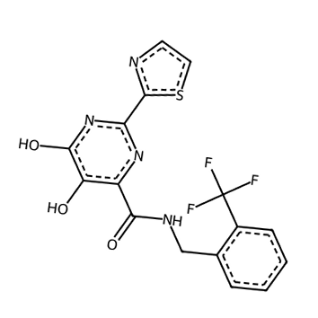 O=C(NCc1ccccc1C(F)(F)F)c1nc(-c2nccs2)nc(O)c1O